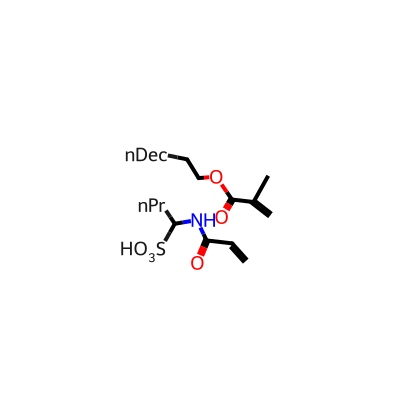 C=C(C)C(=O)OCCCCCCCCCCCC.C=CC(=O)NC(CCC)S(=O)(=O)O